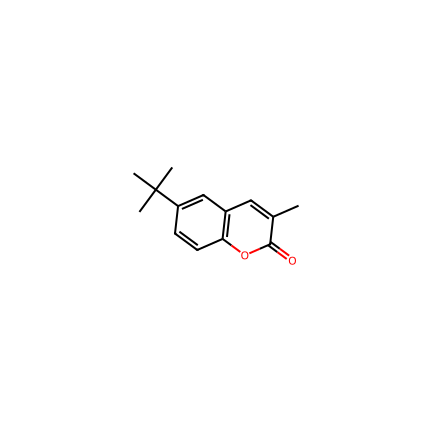 Cc1cc2cc(C(C)(C)C)ccc2oc1=O